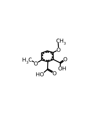 COc1ccc(OC)c(C(=O)O)c1C(=O)O